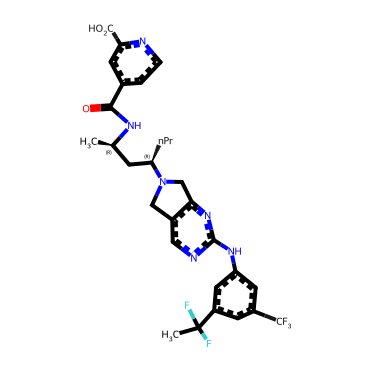 CCC[C@H](C[C@@H](C)NC(=O)c1ccnc(C(=O)O)c1)N1Cc2cnc(Nc3cc(C(C)(F)F)cc(C(F)(F)F)c3)nc2C1